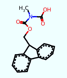 CN(C(=O)O)C(=O)OCC1c2ccccc2-c2ccccc21